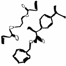 C=C(C)c1ccc(C(=C)C(=O)OCc2ccccc2)cc1.C=CC(=O)OCCOC(=O)C=C